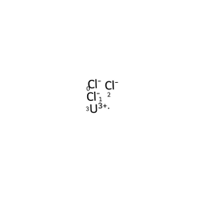 [Cl-].[Cl-].[Cl-].[U+3]